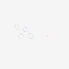 CC(CCCCCCCn1nc(-c2ccccc2)c(-c2ccccc2)c1-c1ccccc1)C(=O)O